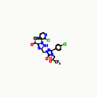 COC(=O)C1=NC(Cn2nc(-c3ccc(Cl)cc3)n(C[C@H](O)C(F)(F)F)c2=O)NN1c1cccnc1Cl